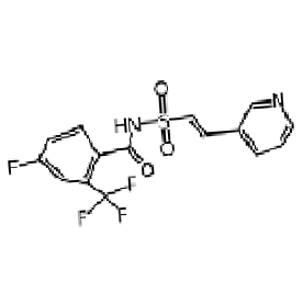 O=C(NS(=O)(=O)C=Cc1cccnc1)c1ccc(F)cc1C(F)(F)F